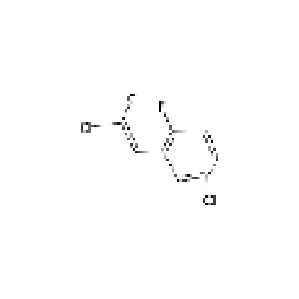 Fc1ccc(Cl)cc1C=C(Cl)Cl